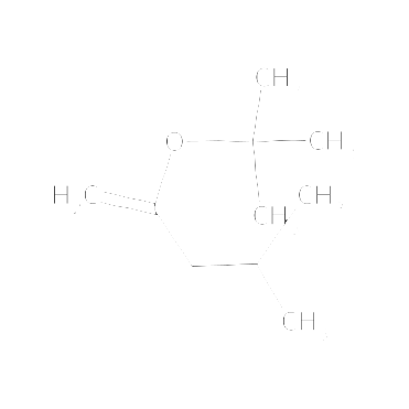 C=C(CC(C)C)OC(C)(C)C